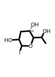 CC(O)C1OC(I)C(O)C[C@@H]1O